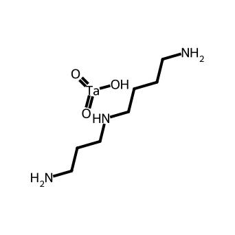 NCCCCNCCCN.[O]=[Ta](=[O])[OH]